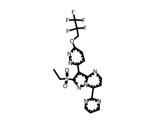 CCS(=O)(=O)c1nn2c(-c3ncccn3)ccnc2c1-c1ccc(OCC(F)(F)C(F)(F)F)nn1